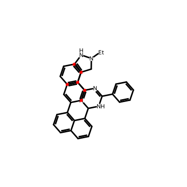 CCN1CC(c2ccc(-c3cccc4cccc(C5N=C(c6ccccc6)N=C(c6ccccc6)N5)c34)cc2)=CN1